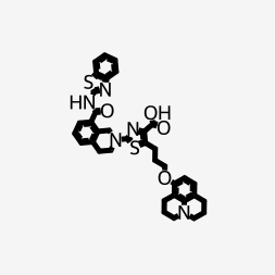 O=C(Nc1nc2ccccc2s1)c1cccc2c1CN(c1nc(C(=O)O)c(CCCOc3ccc4c5c3CCCN5CCC4)s1)CC2